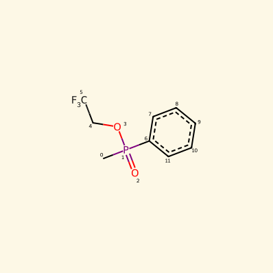 CP(=O)(OCC(F)(F)F)c1ccccc1